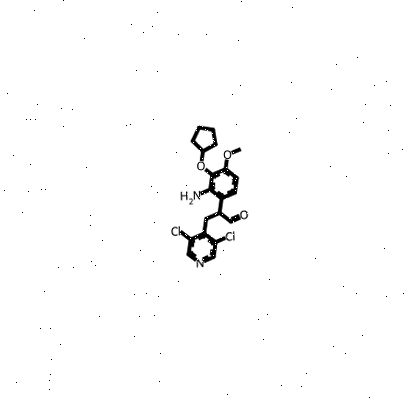 COc1ccc(C(C=O)Cc2c(Cl)cncc2Cl)c(N)c1OC1CCCC1